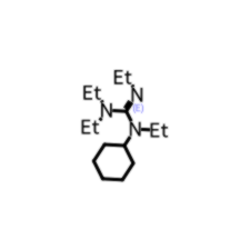 CC/N=C(\N(CC)CC)N(CC)C1CCCCC1